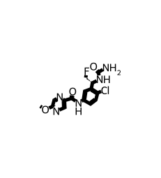 COc1cnc(C(=O)Nc2ccc(Cl)c([C@H](CF)NC(N)=O)c2)cn1